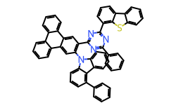 c1ccc(-c2nc(-c3cc4c5ccccc5c5ccccc5c4cc3-n3c4ccccc4c4c(-c5ccccc5)cccc43)nc(-c3cccc4c3sc3ccccc34)n2)cc1